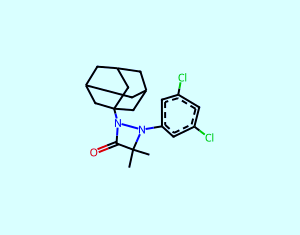 CC1(C)C(=O)N(C23CC4CC(CC(C4)C2)C3)N1c1cc(Cl)cc(Cl)c1